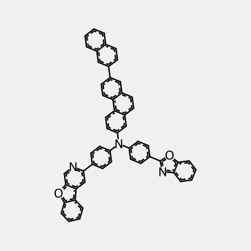 c1ccc2cc(-c3ccc4c(ccc5cc(N(c6ccc(-c7cc8c(cn7)oc7ccccc78)cc6)c6ccc(-c7nc8ccccc8o7)cc6)ccc54)c3)ccc2c1